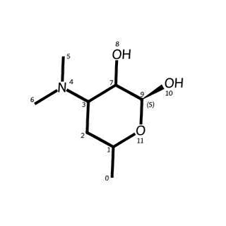 CC1CC(N(C)C)C(O)[C@@H](O)O1